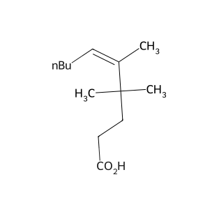 CCCCC=C(C)C(C)(C)CCC(=O)O